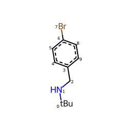 CC(C)(C)NCc1ccc(Br)cc1